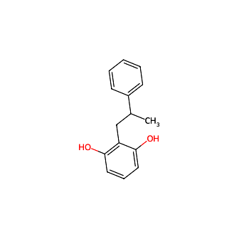 CC(Cc1c(O)cccc1O)c1ccccc1